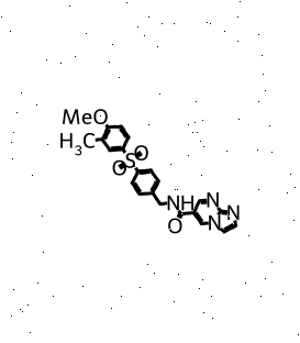 COc1ccc(S(=O)(=O)c2ccc(CNC(=O)c3cnc4nccn4c3)cc2)cc1C